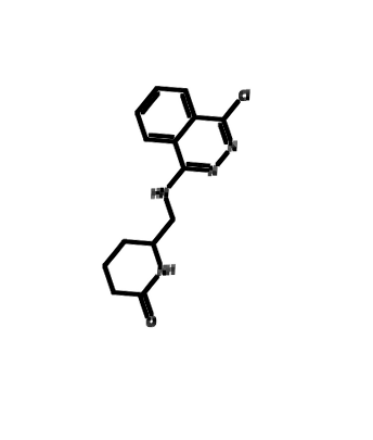 O=C1CCCC(CNc2nnc(Cl)c3ccccc23)N1